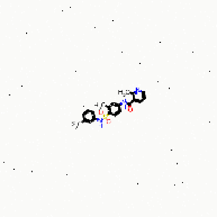 Cc1cc(NC(=O)c2cccnc2C)ccc1S(=O)(=O)Nc1cccc(C(F)(F)F)c1